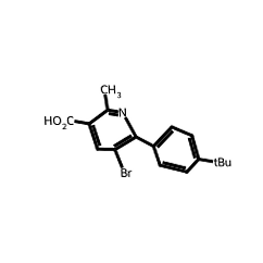 Cc1nc(-c2ccc(C(C)(C)C)cc2)c(Br)cc1C(=O)O